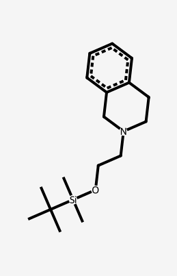 CC(C)(C)[Si](C)(C)OCCN1CCc2ccccc2C1